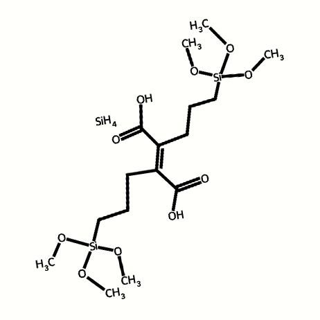 CO[Si](CCC/C(C(=O)O)=C(/CCC[Si](OC)(OC)OC)C(=O)O)(OC)OC.[SiH4]